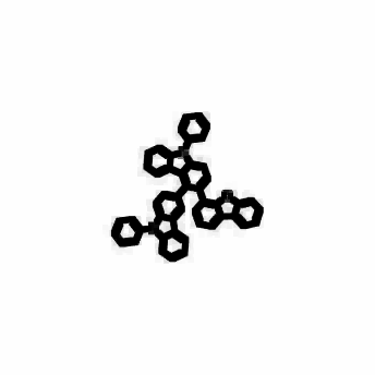 c1ccc(-n2c3ccccc3c3cc(-c4c(-c5cccc6c5oc5ccccc56)ccc5c4c4ccccc4n5-c4ccccc4)ccc32)cc1